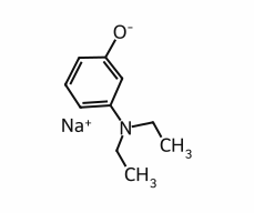 CCN(CC)c1cccc([O-])c1.[Na+]